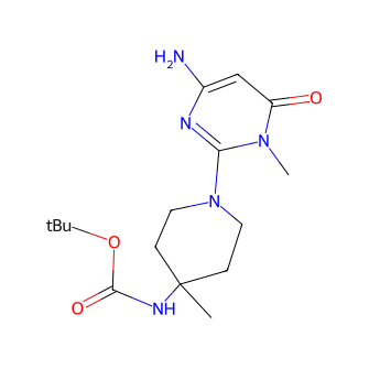 Cn1c(N2CCC(C)(NC(=O)OC(C)(C)C)CC2)nc(N)cc1=O